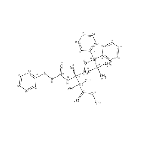 [2H]C([2H])(C(=O)OC)[C@@]([2H])(CO[Si](c1ccccc1)(c1ccccc1)C(C)(C)C)NC(=O)OCc1ccccc1